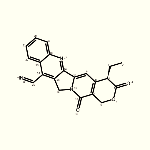 CC[C@H]1C(=O)OCc2c1cc1n(c2=O)Cc2c-1nc1ccccc1c2C=N